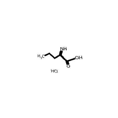 CCCC(=N)C(=O)O.Cl